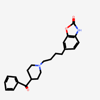 O=C(c1ccccc1)C1CCN(CCCCc2ccc3[nH]c(=O)oc3c2)CC1